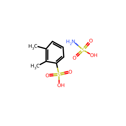 Cc1cccc(S(=O)(=O)O)c1C.NS(=O)(=O)O